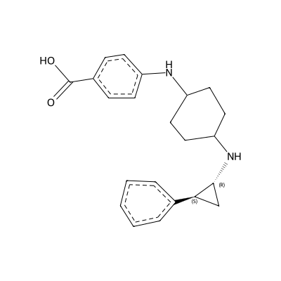 O=C(O)c1ccc(NC2CCC(N[C@@H]3C[C@H]3c3ccccc3)CC2)cc1